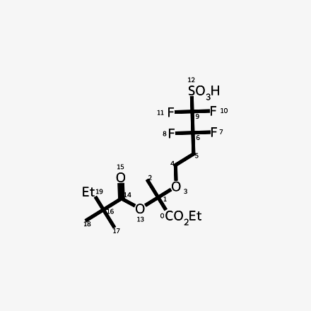 CCOC(=O)C(C)(OCCC(F)(F)C(F)(F)S(=O)(=O)O)OC(=O)C(C)(C)CC